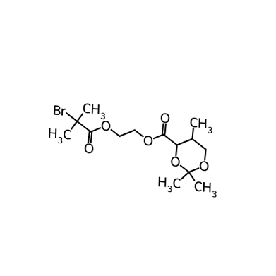 CC1COC(C)(C)OC1C(=O)OCCOC(=O)C(C)(C)Br